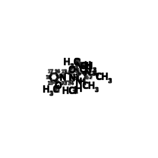 CCCNC1(C)C=C(C)NC(N2CCN(c3ccccc3OC)CC2)=C1C(=O)N(C)C.Cl